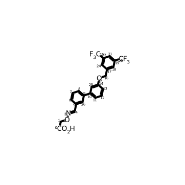 O=C(O)CON=Cc1cccc(-c2cccc(OCc3cc(C(F)(F)F)cc(C(F)(F)F)c3)c2)c1